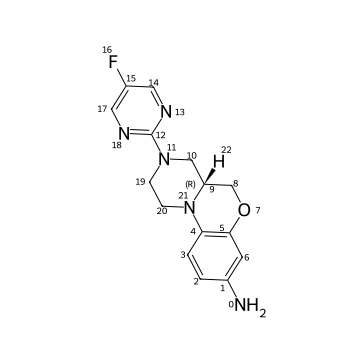 Nc1ccc2c(c1)OC[C@H]1CN(c3ncc(F)cn3)CCN21